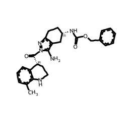 Cc1cccc2c1NCC[C@H]2C(=O)n1nc2c(c1N)C[C@@H](NC(=O)OCc1ccccc1)CC2